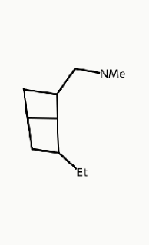 CCC1CC2CC(CNC)C12